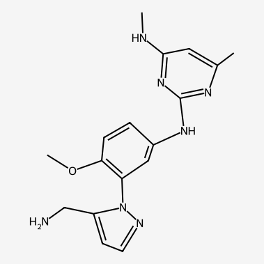 CNc1cc(C)nc(Nc2ccc(OC)c(-n3nccc3CN)c2)n1